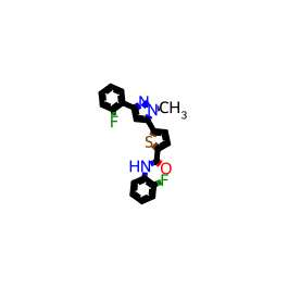 Cn1nc(-c2ccccc2F)cc1-c1ccc(C(=O)Nc2ccccc2F)s1